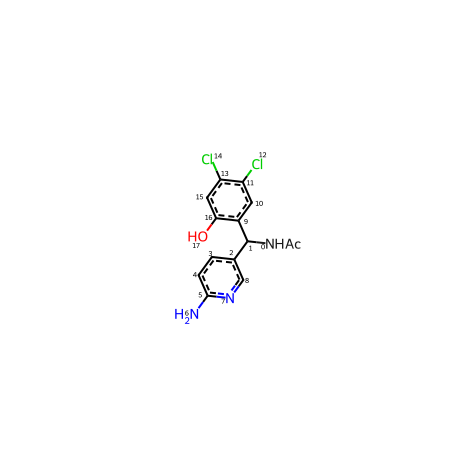 CC(=O)NC(c1ccc(N)nc1)c1cc(Cl)c(Cl)cc1O